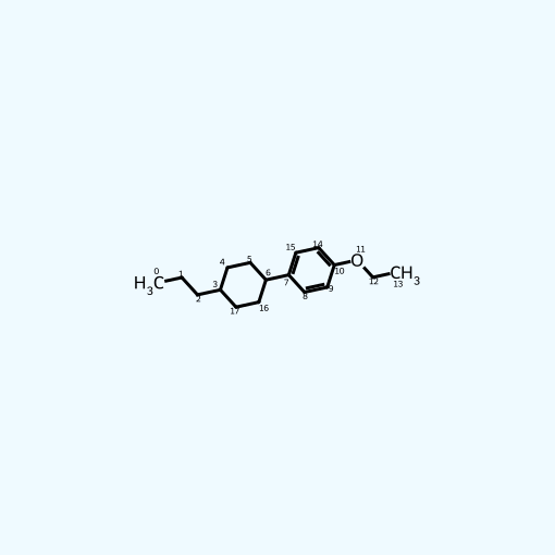 CCCC1CCC(c2ccc(OCC)cc2)CC1